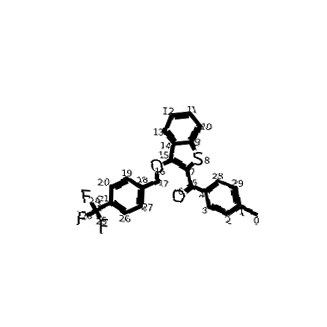 Cc1ccc(C(=O)c2sc3ccccc3c2OCc2ccc(C(F)(F)F)cc2)cc1